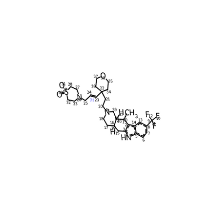 C[C@H]1c2c([nH]c3ccc(C(F)(F)F)cc23)C[C@H]2CCN(CCC3(/C=C/CN4CCS(=O)(=O)CC4)CCOCC3)C[C@@H]21